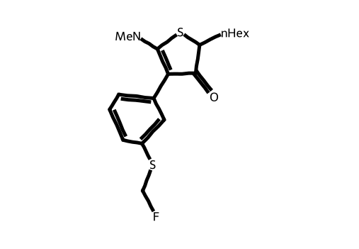 CCCCCCC1SC(NC)=C(c2cccc(SCF)c2)C1=O